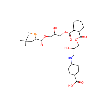 CPC(CC(C)(C)C)C(=O)OCC(O)COC(=O)C1CCCCC1C(=O)OCC(O)CNC1CCC(C(=O)O)CC1